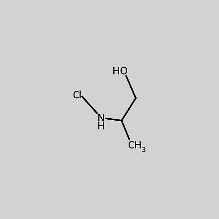 CC(CO)NCl